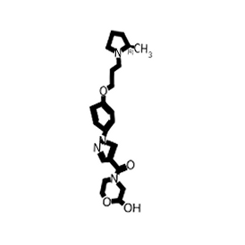 C[C@@H]1CCCN1CCCOc1ccc(-n2cc(C(=O)N3CCOC(O)C3)cn2)cc1